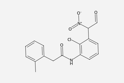 Cc1ccccc1CC(=O)Nc1cccc(C(C=O)[N+](=O)[O-])c1Cl